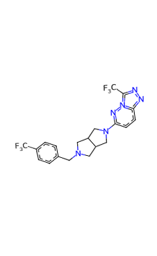 FC(F)(F)c1ccc(CN2CC3CN(c4ccc5nnc(C(F)(F)F)n5n4)CC3C2)cc1